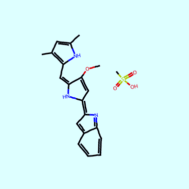 COc1c/c(=C2/C=c3ccccc3=N2)[nH]/c1=C/c1[nH]c(C)cc1C.CS(=O)(=O)O